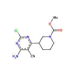 CC(C)(C)OC(=O)N1CCCC(c2nc(Cl)nc(N)c2C#N)C1